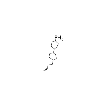 C=CCCC1CCC(C2CCC(P)CC2)CC1